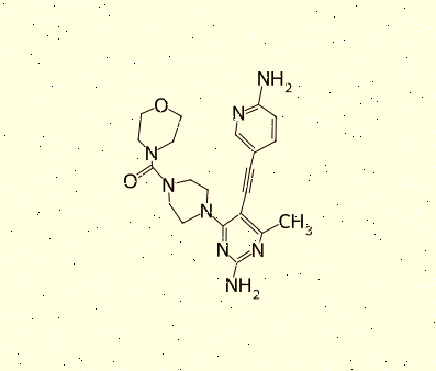 Cc1nc(N)nc(N2CCN(C(=O)N3CCOCC3)CC2)c1C#Cc1ccc(N)nc1